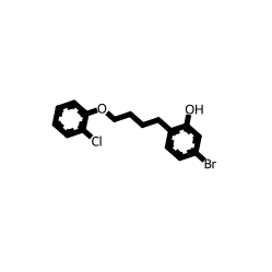 Oc1cc(Br)ccc1CCCCOc1ccccc1Cl